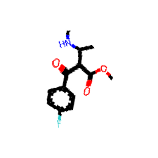 CNC(C)C(C(=O)OC)C(=O)c1ccc(F)cc1